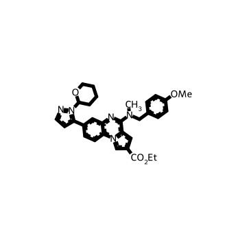 CCOC(=O)c1cc2c(N(C)Cc3ccc(OC)cc3)nc3cc(-c4ccnn4C4CCCCO4)ccc3n2c1